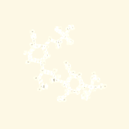 CCS(=O)(=O)NCc1cc(/C(C=N)=C/Nc2c(Cl)cc(C(F)(C(F)(F)F)C(F)(F)F)cc2Cl)ccc1Cl